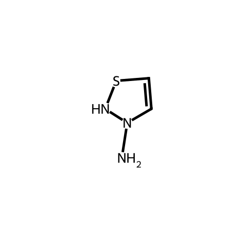 NN1C=CSN1